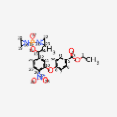 CCOC(=O)c1ccc(Oc2cc(C(C)OP(=O)(N3CC3)N3CC3)ccc2[N+](=O)[O-])cc1